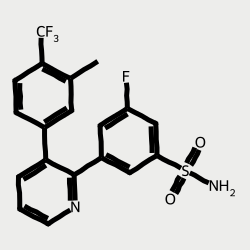 Cc1cc(-c2cccnc2-c2cc(F)cc(S(N)(=O)=O)c2)ccc1C(F)(F)F